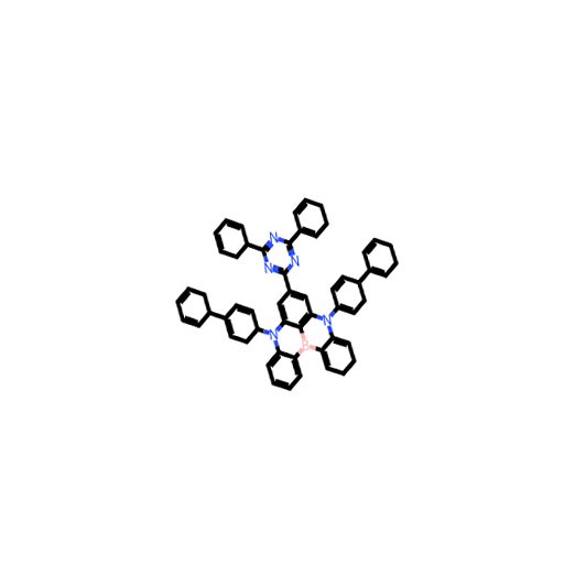 C1=CCC(C2=CCC(N3c4ccccc4B4C5=CCCC=C5N(C5=CCC(C6=CCCC=C6)C=C5)c5cc(-c6nc(C7=CCCC=C7)nc(C7C=CC=CC7)n6)cc3c54)C=C2)C=C1